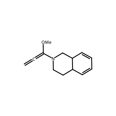 C=C=C(OC)N1CCC2C=CC=CC2C1